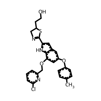 Cc1ccc(Oc2cc(OCc3cccc(Cl)n3)c3[nH]c(C4=NCC(CCO)S4)cc3c2)cc1